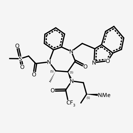 CN[C@@H](C)CN(C(=O)C(F)(F)F)[C@@H]1C(=O)N(Cc2noc3ccccc23)c2ccccc2N(C(=O)CS(C)(=O)=O)[C@H]1C